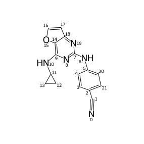 N#Cc1ccc(Nc2nc(NC3CC3)c3occc3n2)cc1